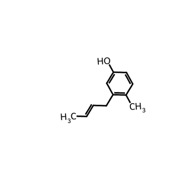 CC=CCc1cc(O)ccc1C